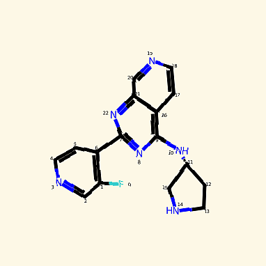 Fc1cnccc1-c1nc(N[C@@H]2CCNC2)c2ccncc2n1